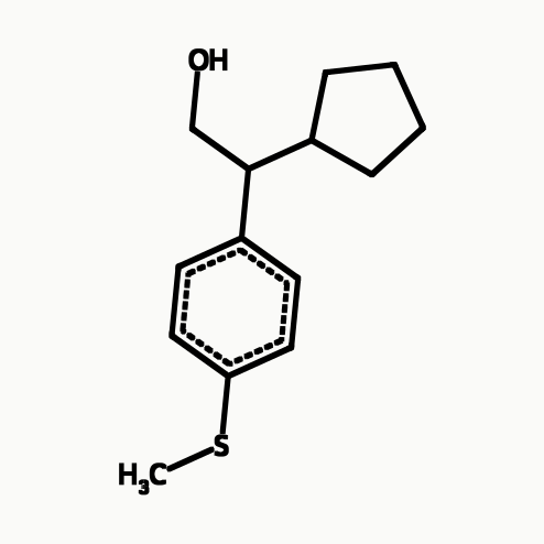 CSc1ccc(C(CO)C2CCCC2)cc1